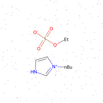 CCCC[n+]1cc[nH]c1.CCOS(=O)(=O)[O-]